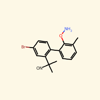 Cc1cccc(-c2ccc(Br)cc2C(C)(C)N=O)c1ON